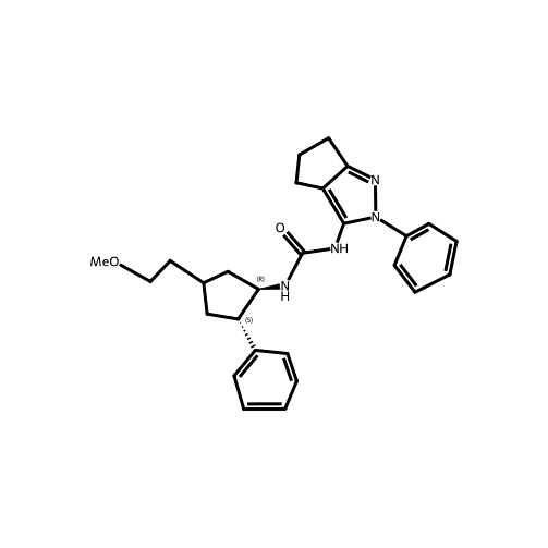 COCCC1C[C@@H](NC(=O)Nc2c3c(nn2-c2ccccc2)CCC3)[C@H](c2ccccc2)C1